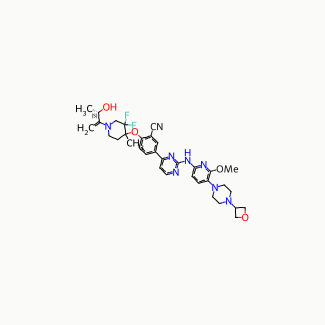 C=C([C@H](C)O)N1CCC(C)(Oc2ccc(-c3ccnc(Nc4ccc(N5CCN(C6COC6)CC5)c(OC)n4)n3)cc2C#N)C(F)(F)C1